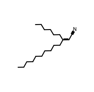 CCCCCCCCCC/C(=C/C#N)CCCCCC